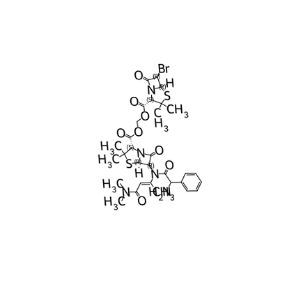 CC(=CC(=O)N(C)C)N(C(=O)C(N)c1ccccc1)[C@@H]1C(=O)N2[C@@H]1SC(C)(C)[C@@H]2C(=O)OCOC(=O)[C@@H]1N2C(=O)[C@@H](Br)[C@H]2SC1(C)C